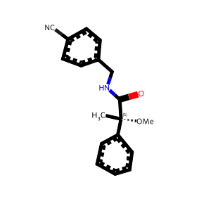 CO[C@](C)(C(=O)NCc1ccc(C#N)cc1)c1ccccc1